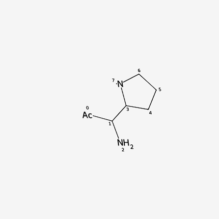 CC(=O)C(N)C1CCC[N]1